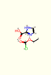 CCOC(=O)Cl.O=C(O)c1ncc[nH]1